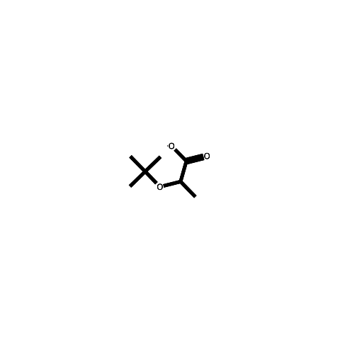 CC(OC(C)(C)C)C([O])=O